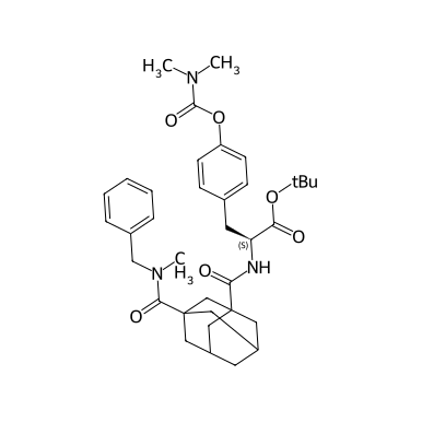 CN(C)C(=O)Oc1ccc(C[C@H](NC(=O)C23CC4CC(C2)CC(C(=O)N(C)Cc2ccccc2)(C4)C3)C(=O)OC(C)(C)C)cc1